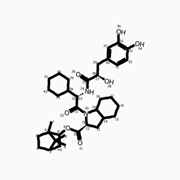 CC1(C)C2CCC1(C)C(OC(=O)[C@@H]1CC3CCCCC3N1C(=O)[C@@H](NC(=O)[C@H](O)Cc1ccc(O)c(O)c1)C1CCCCC1)C2